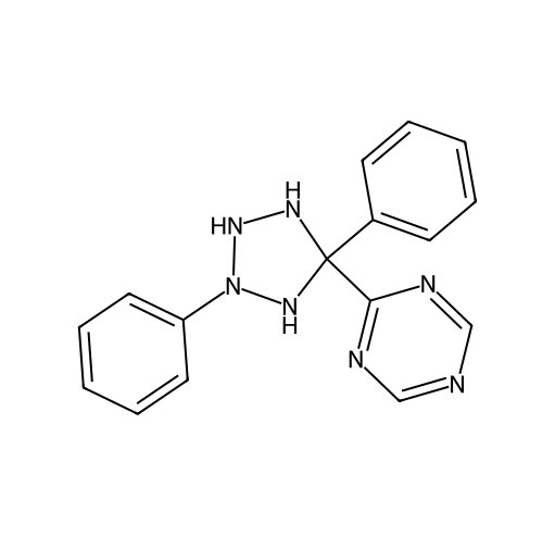 c1ccc(N2NNC(c3ccccc3)(c3ncncn3)N2)cc1